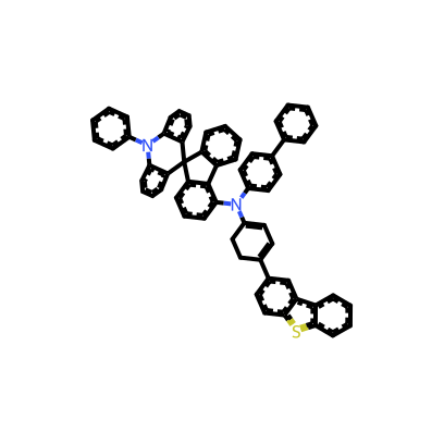 C1=C(c2ccc3sc4ccccc4c3c2)CCC(N(c2ccc(-c3ccccc3)cc2)c2cccc3c2-c2ccccc2C32c3ccccc3N(c3ccccc3)c3ccccc32)=C1